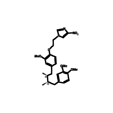 COc1ccc(C[C@H](C)[C@H](C)Cc2ccc(OCCn3cnc([N+](=O)[O-])c3)c(OC)c2)cc1OC